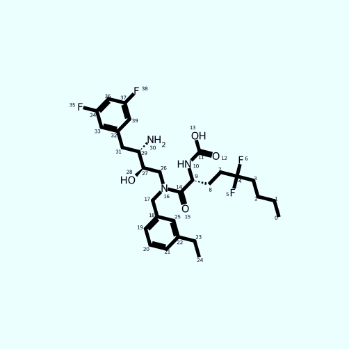 CCCCC(F)(F)CC[C@@H](NC(=O)O)C(=O)N(Cc1cccc(CC)c1)C[C@@H](O)[C@@H](N)Cc1cc(F)cc(F)c1